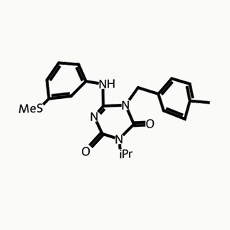 CSc1cccc(Nc2nc(=O)n(C(C)C)c(=O)n2Cc2ccc(C)cc2)c1